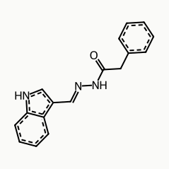 O=C(Cc1ccccc1)N/N=C/c1c[nH]c2ccccc12